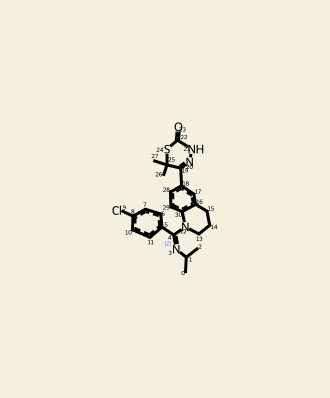 CC(C)/N=C(/c1ccc(Cl)cc1)N1CCCc2cc(C3=NNC(=O)SC3(C)C)ccc21